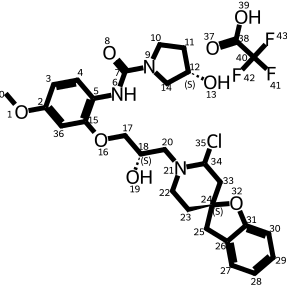 COc1ccc(NC(=O)N2CC[C@H](O)C2)c(OC[C@@H](O)CN2CC[C@@]3(Cc4ccccc4O3)CC2Cl)c1.O=C(O)C(F)(F)F